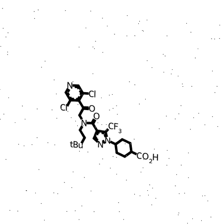 CC(C)(C)CCN(CC(=O)c1c(Cl)cncc1Cl)C(=O)c1cnn(C2CCC(C(=O)O)CC2)c1C(F)(F)F